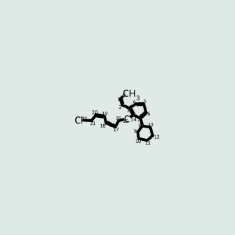 C/C=C\c1cccc(C2CCCCC2)c1CC/C=C\C=C/CCl